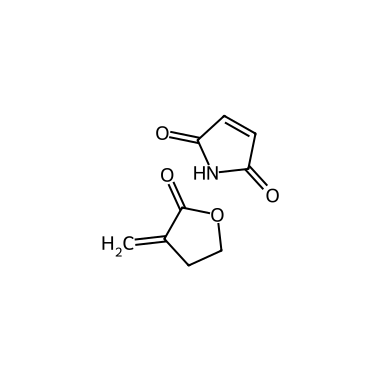 C=C1CCOC1=O.O=C1C=CC(=O)N1